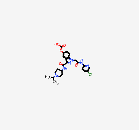 CC(C)N1CCC(NC(=O)c2nn(CC(=O)Nc3ccc(Cl)cn3)c3ccc(OC(=O)O)cc23)CC1